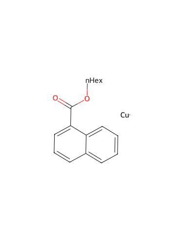 CCCCCCOC(=O)c1cccc2ccccc12.[Cu]